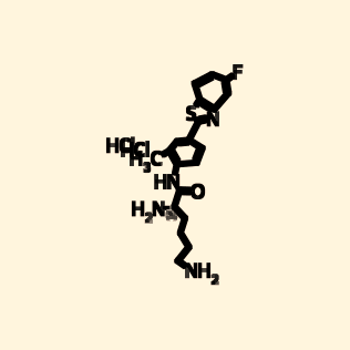 Cc1cc(-c2nc3cc(F)ccc3s2)ccc1NC(=O)[C@@H](N)CCCCN.Cl.Cl